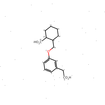 O=C(O)Cc1cccc(OCC2CCCCC2C(=O)O)c1